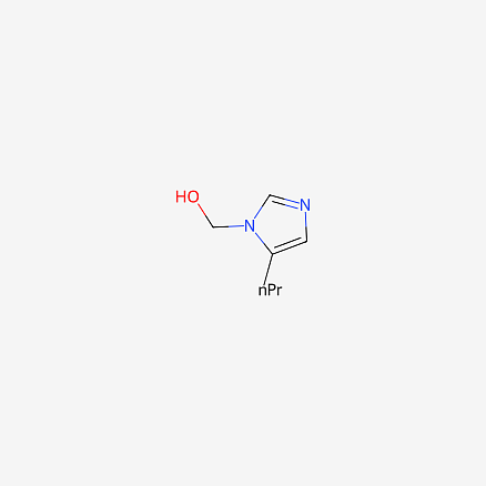 CCCc1cncn1CO